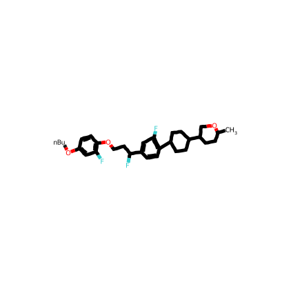 CCCCOc1ccc(OCCC(F)c2ccc(C3CCC(C4CCC(C)OC4)CC3)c(F)c2)c(F)c1